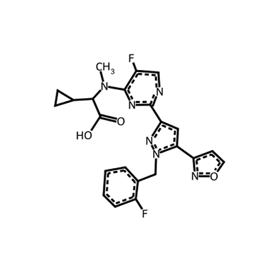 CN(c1nc(-c2cc(-c3ccon3)n(Cc3ccccc3F)n2)ncc1F)C(C(=O)O)C1CC1